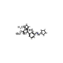 CC(C)(C)OC(=O)N1[C@H]([C@@H](O)c2cccc(/N=N/N3CCCC3)c2F)C2CC1(C)C2